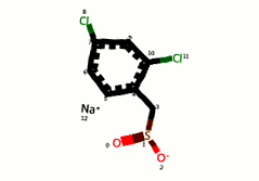 O=S([O-])Cc1ccc(Cl)cc1Cl.[Na+]